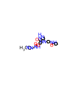 CN1CCN(CCNC(=O)Oc2ccc3c(c2)c(=O)[nH]c2nccc(Nc4ccc(NC(=O)c5ccccc5)cc4)c23)CC1